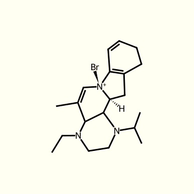 CCN1CCN(C(C)C)C2C1C(C)=C[N@+]1(Br)C3=C(CCC=C3)C[C@@H]21